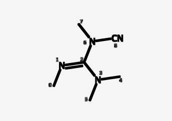 C/N=C(\N(C)C)N(C)C#N